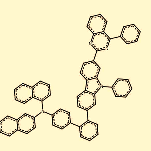 c1ccc(-c2nc(-c3ccc4c5ccc(-c6ccccc6-c6ccc(N(c7ccc8ccccc8c7)c7cccc8ccccc78)cc6)cc5n(-c5ccccc5)c4c3)nc3ccccc23)cc1